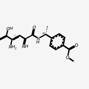 C=C(O)/C(N)=C/C(=N)C(=O)N[C@H](C)c1ccc(C(=O)OC)cc1